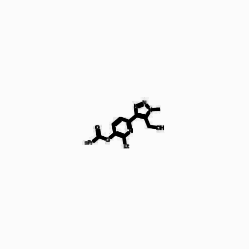 CCCC(=O)Oc1ccc(-c2nnn(C)c2CO)nc1CC